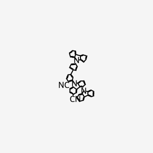 N#Cc1ccc2c(c1)c1c(-n3c4ccccc4c4ccccc43)cccc1n2-c1cc(-c2ccc(-n3c4ccccc4c4ccccc43)cc2)ccc1C#N